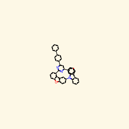 c1ccc(-c2ccc(-c3cc(-c4ccccc4)nc(-c4cccc5oc6ccc(-n7c8ccccc8c8ccccc87)cc6c45)n3)cc2)cc1